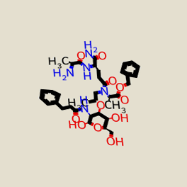 CC(CN(C(=O)CC[C@@H](NC(=O)[C@H](C)N)C(N)=O)[C@@H](C)C(=O)OCc1ccccc1)O[C@H]1[C@H](O)[C@@H](CO)O[C@H](O)[C@@H]1NC(=O)CCc1ccccc1